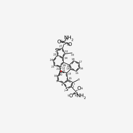 Cc1c(S(N)(=O)=O)sc2ccc(F)c(-c3ccccc3-c3c(F)ccc4sc(S(N)(=O)=O)c(C)c34)c12